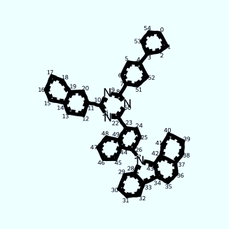 c1ccc(-c2ccc(-c3nc(-c4ccc5ccccc5c4)nc(-c4ccc(-n5c6ccccc6c6ccc7ccccc7c65)c5ccccc45)n3)cc2)cc1